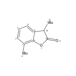 CC(C)(C)c1cccc2c1OC(=O)C2C(C)(C)C